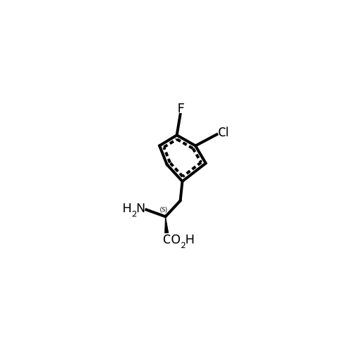 N[C@@H](Cc1ccc(F)c(Cl)c1)C(=O)O